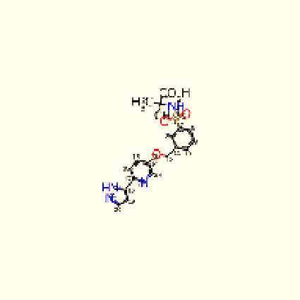 CC(C)(NS(=O)(=O)c1cccc(COc2ccc(-c3ccn[nH]3)nc2)c1)C(=O)O